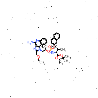 CCOCc1nc2c(N)nc3ccccc3c2n1C[C@@H](C)OP(=O)(N[C@H](C(=O)OC(C)(C)C)C(C)C)Oc1ccc2ccccc2c1